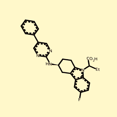 CCC(C(=O)O)n1c2c(c3cc(F)ccc31)C[C@@H](Nc1ncc(-c3ccccc3)cn1)CC2